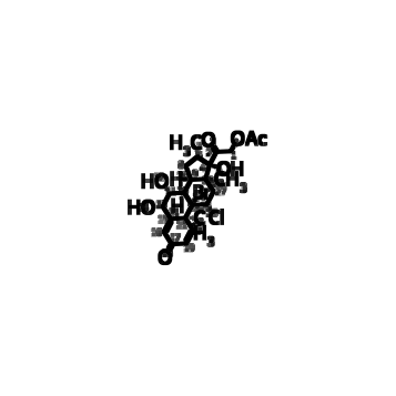 CC(=O)OCC(=O)[C@@]1(O)[C@@H](C)C[C@H]2[C@@H]3[C@@H](O)[C@@H](O)C4=CC(=O)C=C[C@]4(C)[C@@]3(Br)[C@@H](Cl)C[C@@]21C